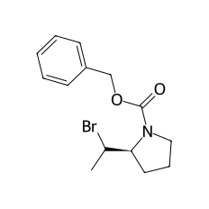 CC(Br)[C@@H]1CCCN1C(=O)OCc1ccccc1